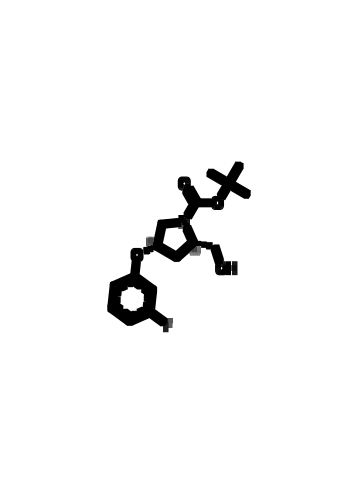 CC(C)(C)OC(=O)N1C[C@@H](Oc2cccc(F)c2)C[C@H]1CO